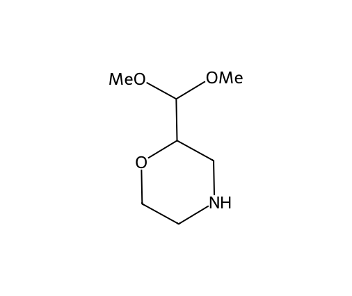 COC(OC)C1CNCCO1